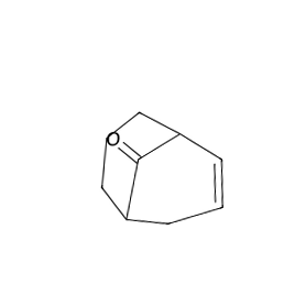 O=C1C2C=CCC1CCC2